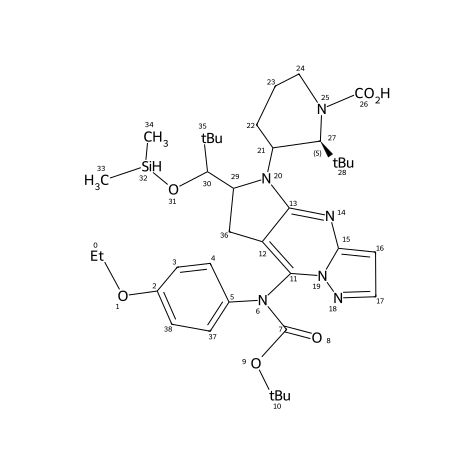 CCOc1ccc(N(C(=O)OC(C)(C)C)c2c3c(nc4ccnn24)N(C2CCCN(C(=O)O)[C@H]2C(C)(C)C)C(C(O[SiH](C)C)C(C)(C)C)C3)cc1